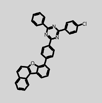 Clc1ccc(-c2nc(-c3ccccc3)nc(-c3ccc(-c4cccc5c4oc4ccc6ccccc6c45)cc3)n2)cc1